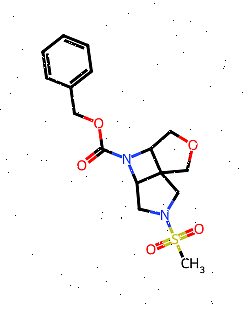 CS(=O)(=O)N1CC2N(C(=O)OCc3ccccc3)C3COCC32C1